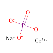 O=P([O-])([O-])[O-].[Ce+3].[Na+]